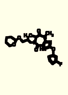 CC1C(=O)N(C)c2nc(Oc3cccc(F)c3)[nH]c2C(=O)N1CCCO[C@@H]1CCCCO1